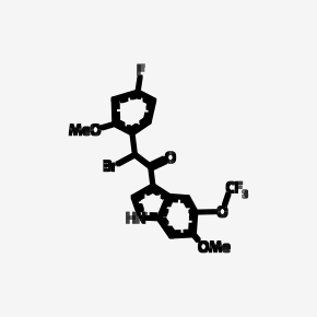 COc1cc2[nH]cc(C(=O)C(Br)c3ccc(F)cc3OC)c2cc1OC(F)(F)F